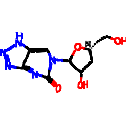 O=c1nc2nn[nH]c2cn1C1O[C@H](CO)CC1O